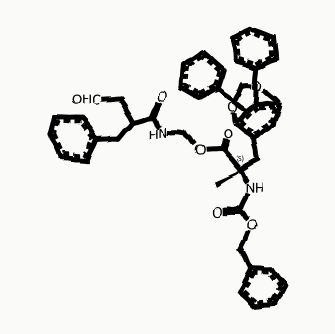 C[C@@](Cc1cc2c(-c3ccccc3)c(-c3ccccc3)c1OCO2)(NC(=O)OCc1ccccc1)C(=O)OCNC(=O)C(CC=O)Cc1ccccc1